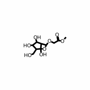 COC(=O)COC1OC2(O)C(CO)C(O)C(O)C12